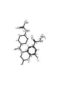 CC1CN([C@@H](C)C2CCC(NC(=O)O)CC2)c2cc(C(=O)NN)cc(F)c2O1